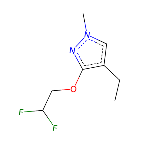 CCc1cn(C)nc1OCC(F)F